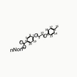 CCCCCCCCCOC(=O)c1ccc(OCCOc2ccc(C)cc2)cc1